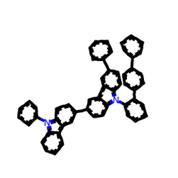 c1ccc(-c2ccc(-c3ccccc3-n3c4ccc(-c5ccccc5)cc4c4cc(-c5ccc6c(c5)c5ccccc5n6-c5ccccc5)ccc43)cc2)cc1